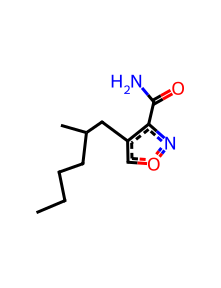 CCCCC(C)Cc1conc1C(N)=O